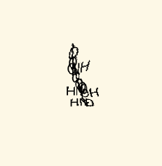 CCCOCCOCC(=O)NCCOCCOCC(=O)NC(CCCCNC(=O)CC)C(=O)O